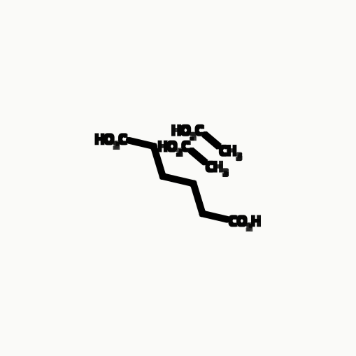 CC(=O)O.CC(=O)O.O=C(O)CCCCC(=O)O